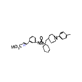 Cc1ccc(N2CCC(CC3(C(=O)Nc4cccc(/C=C/C(=O)O)c4)CCCCC3)CC2)cc1